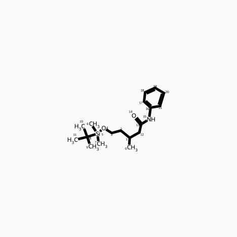 CC(CCO[Si](C)(C)C(C)(C)C)CC(=O)Nc1ccccc1